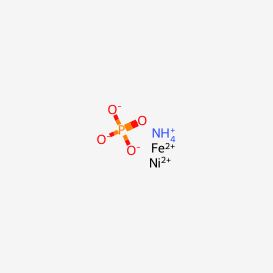 O=P([O-])([O-])[O-].[Fe+2].[NH4+].[Ni+2]